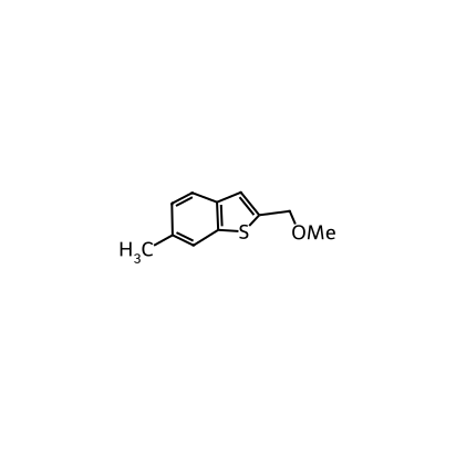 [CH2]OCc1cc2ccc(C)cc2s1